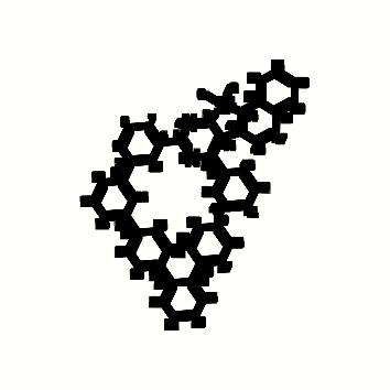 C[Si]1(C)c2nc(-c3cccc(-c4cccc(-c5ccc6c7ccccc7c7ccccc7c6c5)c4)c3)nc(-c3ccccc3)c2-c2ccc3ccccc3c21